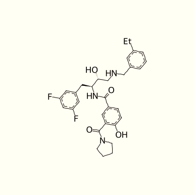 CCc1cccc(CNC[C@@H](O)[C@H](Cc2cc(F)cc(F)c2)NC(=O)c2ccc(O)c(C(=O)N3CCCC3)c2)c1